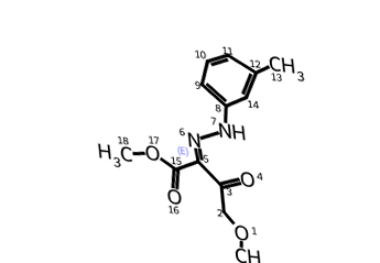 COCC(=O)/C(=N\Nc1cccc(C)c1)C(=O)OC